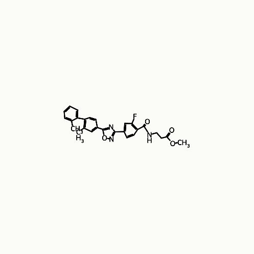 COC(=O)CCNC(=O)c1ccc(-c2noc(-c3ccc(-c4ccccc4C)c(C)c3)n2)cc1F